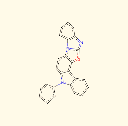 c1ccc(-n2c3ccccc3c3c4oc5nc6ccccc6n5c4ccc32)cc1